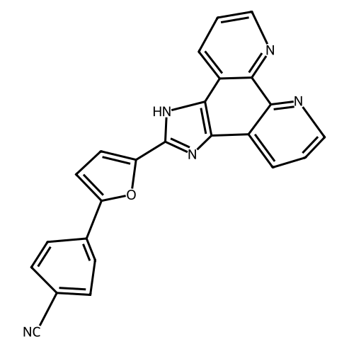 N#Cc1ccc(-c2ccc(-c3nc4c5cccnc5c5ncccc5c4[nH]3)o2)cc1